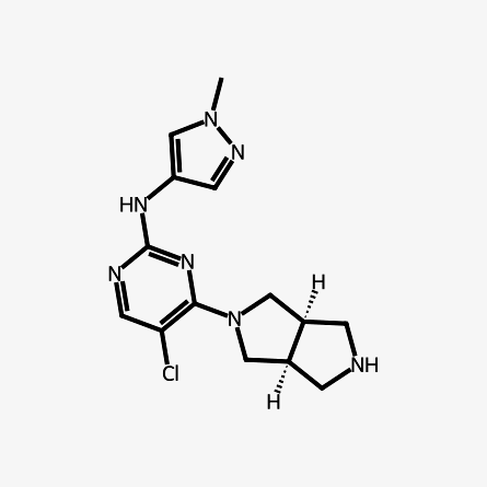 Cn1cc(Nc2ncc(Cl)c(N3C[C@H]4CNC[C@H]4C3)n2)cn1